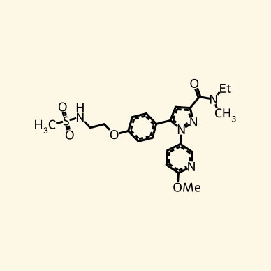 CCN(C)C(=O)c1cc(-c2ccc(OCCNS(C)(=O)=O)cc2)n(-c2ccc(OC)nc2)n1